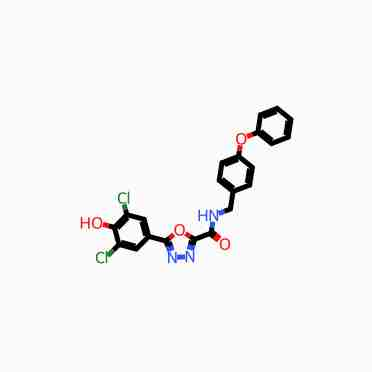 O=C(NCc1ccc(Oc2ccccc2)cc1)c1nnc(-c2cc(Cl)c(O)c(Cl)c2)o1